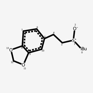 CCC(C)[S+]([O-])CCc1ccc2c(c1)OCO2